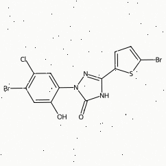 O=c1[nH]c(-c2ccc(Br)s2)nn1-c1cc(Cl)c(Br)cc1O